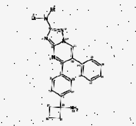 CCN(CC)c1nc2nc(-c3ccc(C4(N)CCC4)cc3)c(-c3ccccc3)cn2n1